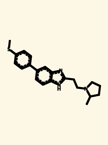 CSc1ccc(-c2ccc3[nH]c(CCN4CCCC4C)nc3c2)cc1